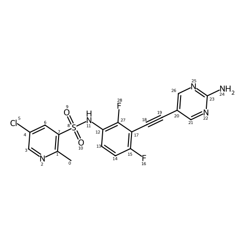 Cc1ncc(Cl)cc1S(=O)(=O)Nc1ccc(F)c(C#Cc2cnc(N)nc2)c1F